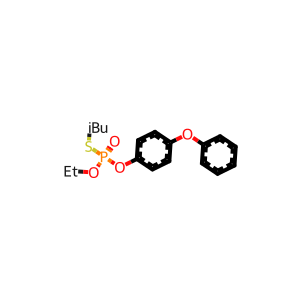 CCOP(=O)(Oc1ccc(Oc2ccccc2)cc1)SC(C)CC